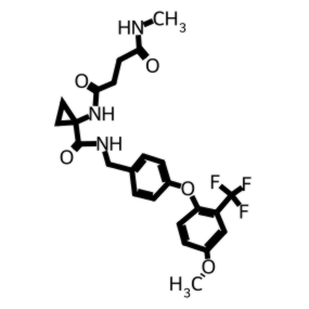 CNC(=O)CCC(=O)NC1(C(=O)NCc2ccc(Oc3ccc(OC)cc3C(F)(F)F)cc2)CC1